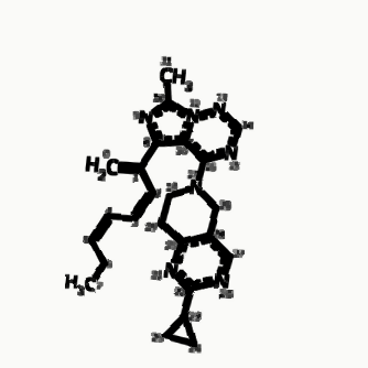 C=C(/C=C\C=C/CC)c1nc(C)n2ncnc(N3CCc4nc(C5CC5)ncc4C3)c12